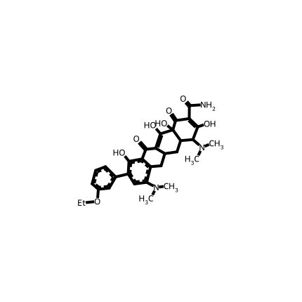 CCOc1cccc(-c2cc(N(C)C)c3c(c2O)C(=O)C2=C(O)C4(O)C(=O)C(C(N)=O)=C(O)C(N(C)C)C4CC2C3)c1